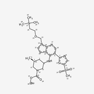 C[C@H]1CC(Nc2c(-c3ncc(S(C)(=O)=O)s3)cnc3c2ccn3COCC[Si](C)(C)C)CN(C(=O)OC(C)(C)C)C1